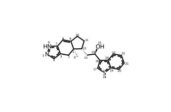 C[C@]12Cc3cn[nH]c3C=C1CC[C@@H]2C[C@@H](O)c1csc2ccccc12